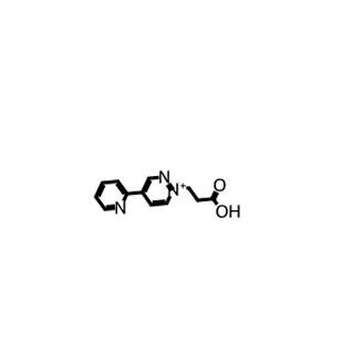 O=C(O)CC[n+]1ccc(-c2ccccn2)cn1